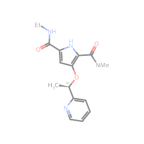 CCNC(=O)c1cc(O[C@H](C)c2ccccn2)c(C(=O)NC)[nH]1